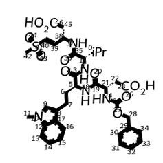 CC(C)[C@H](NC(=O)[C@H](CCc1cn(C)c2ccccc12)NC(=O)[C@H](CC(=O)O)NC(=O)OCc1ccccc1)C(=O)N[C@H](/C=C/S(C)(=O)=O)CC(=O)O